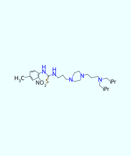 Cc1ccc(NC(=S)NCCCN2CCN(CCCN(CC(C)C)CC(C)C)CC2)c([N+](=O)[O-])c1